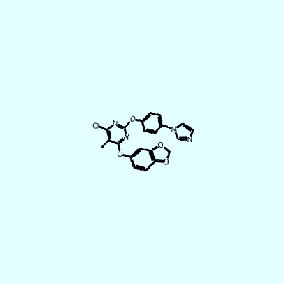 Cc1c(Cl)nc(Oc2ccc(-n3ccnc3)cc2)nc1Oc1ccc2c(c1)OCO2